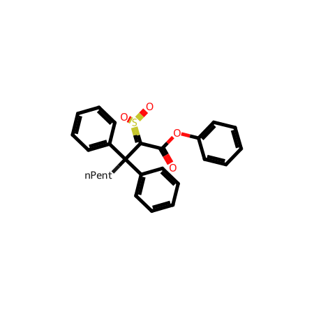 CCCCCC(C(C(=O)Oc1ccccc1)=S(=O)=O)(c1ccccc1)c1ccccc1